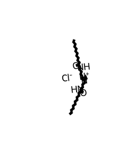 CCCCCCCCCCCC(=O)NCCCn1cc[n+](CCCNC(=O)CCCCCCCCCCC)c1.[Cl-]